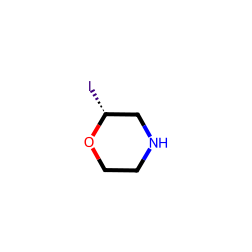 I[C@@H]1CNCCO1